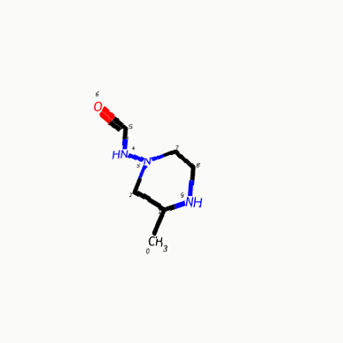 CC1CN(NC=O)CCN1